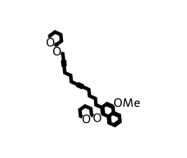 COc1cc(CCCCC#CCCCC#CCOC2CCCCO2)c(OC2CCCCO2)c2ccccc12